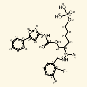 CC(=O)N(NCc1cccc(F)c1F)C(CCCCOP(=O)(O)O)COC(=O)Nc1cc(-c2ccccc2)on1